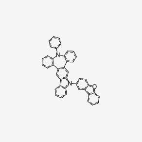 c1ccc(N2c3ccccc3-c3cc4c5ccccc5n(-c5ccc6oc7ccccc7c6c5)c4cc3-c3ccccc32)cc1